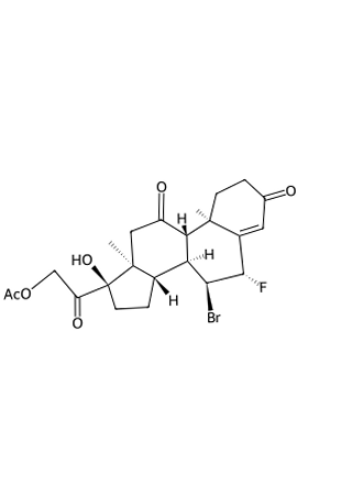 CC(=O)OCC(=O)[C@@]1(O)CC[C@H]2[C@@H]3[C@H](Br)[C@@H](F)C4=CC(=O)CC[C@]4(C)[C@H]3C(=O)C[C@@]21C